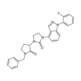 O=C1C(N2CCN(c3cccc4c3cnn4-c3ccccc3F)C2=O)CCN1Cc1ccccc1